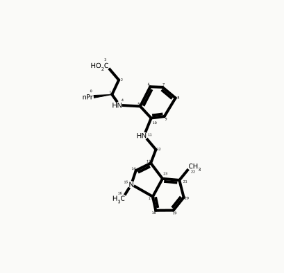 CCC[C@@H](CC(=O)O)Nc1ccccc1NCc1cn(C)c2cccc(C)c12